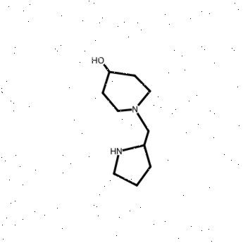 OC1CCN(CC2CCCN2)CC1